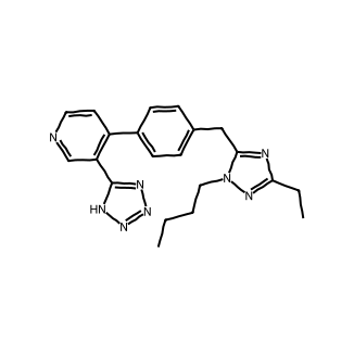 CCCCn1nc(CC)nc1Cc1ccc(-c2ccncc2-c2nnn[nH]2)cc1